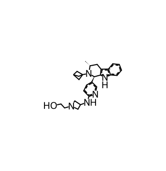 C[C@@H]1Cc2c([nH]c3ccccc23)[C@@H](c2ccc(NC3CN(CCO)C3)nc2)N1C12CC(C1)C2